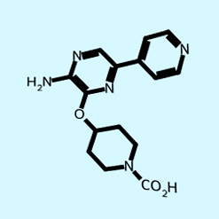 Nc1ncc(-c2ccncc2)nc1OC1CCN(C(=O)O)CC1